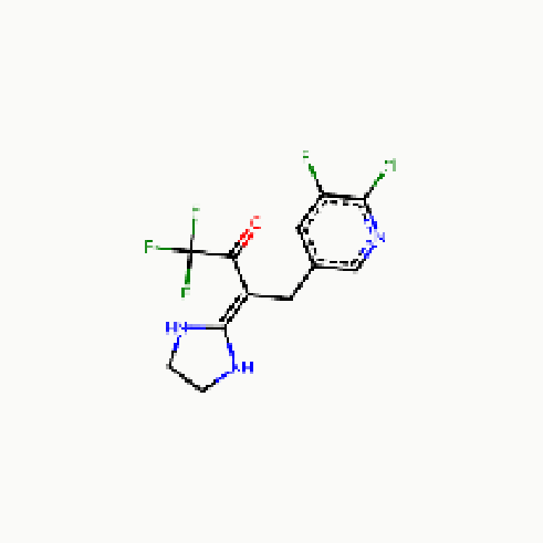 O=C(C(Cc1cnc(Cl)c(F)c1)=C1NCCN1)C(F)(F)F